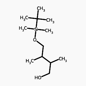 CC(CO)C(C)CO[Si](C)(C)C(C)(C)C